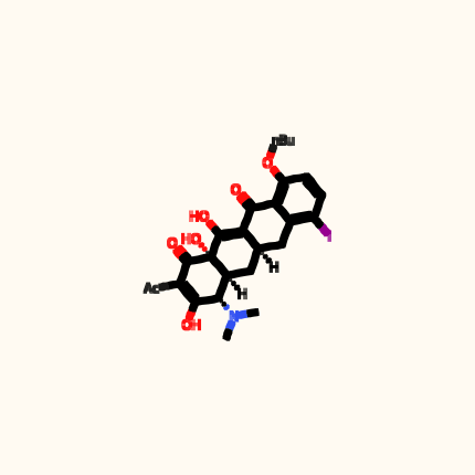 CCCCOc1ccc(I)c2c1C(=O)C1=C(O)[C@]3(O)C(=O)C(C(C)=O)=C(O)[C@@H](N(C)C)[C@@H]3C[C@@H]1C2